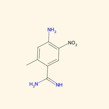 Cc1cc(N)c([N+](=O)[O-])cc1C(=N)N